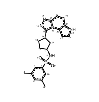 Cc1cc(C)cc(S(=O)(=O)N[C@H]2CC[C@@H](c3nnc4cnc5[nH]ccc5n34)C2)c1